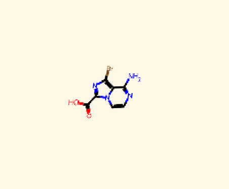 Nc1nccn2c(C(=O)O)nc(Br)c12